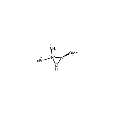 CCC[N+]1(C)N[C@@H]1OC